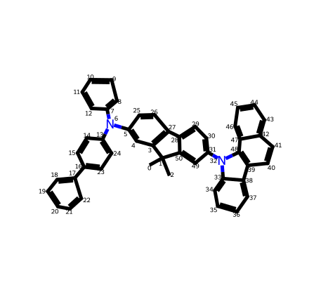 CC1(C)c2cc(N(c3ccccc3)c3ccc(-c4ccccc4)cc3)ccc2-c2ccc(-n3c4ccccc4c4ccc5ccccc5c43)cc21